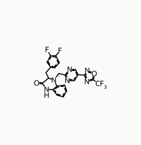 O=C1Nc2ccccc2N(Cc2ncc(-c3noc(C(F)(F)F)n3)cn2)C1Cc1ccc(F)c(F)c1